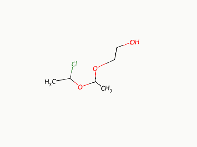 CC(Cl)OC(C)OCCO